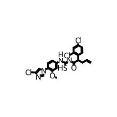 C=CCC(C(=O)N=C(S)Nc1ccc(-n2cnc(Cl)c2)c(OC)c1)c1ccc(Cl)cc1Cl